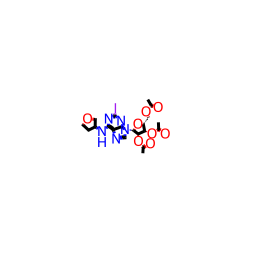 CC(=O)OC[C@H]1O[C@@H](n2cnc3c(NC4CCOC4)nc(I)nc32)[C@H](OC(C)=O)[C@H]1OC(C)=O